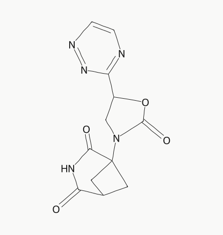 O=C1NC(=O)C2(N3CC(c4nccnn4)OC3=O)CC1C2